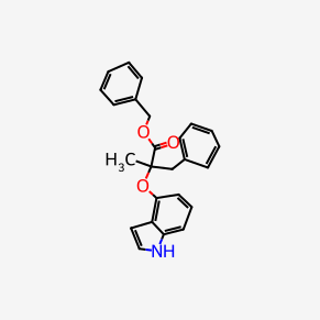 CC(Cc1ccccc1)(Oc1cccc2[nH]ccc12)C(=O)OCc1ccccc1